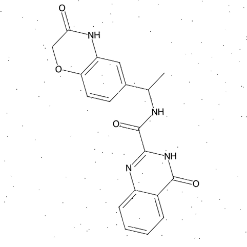 CC(NC(=O)c1nc2ccccc2c(=O)[nH]1)c1ccc2c(c1)NC(=O)CO2